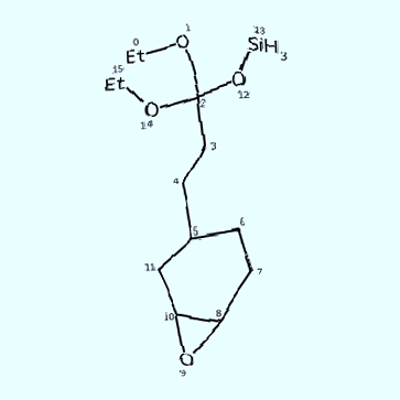 CCOC(CCC1CCC2OC2C1)(O[SiH3])OCC